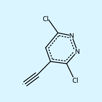 [C]#Cc1cc(Cl)nnc1Cl